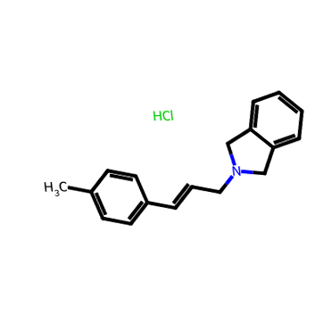 Cc1ccc(C=CCN2Cc3ccccc3C2)cc1.Cl